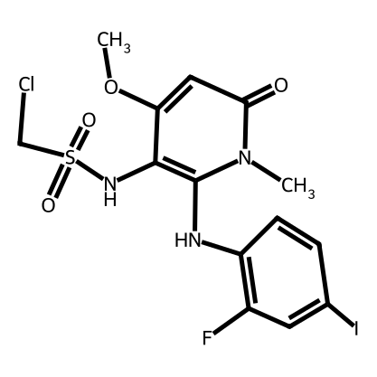 COc1cc(=O)n(C)c(Nc2ccc(I)cc2F)c1NS(=O)(=O)CCl